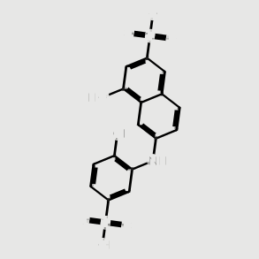 O=S(=O)(O)c1ccc(O)c(Nc2ccc3cc(S(=O)(=O)O)cc(O)c3c2)c1